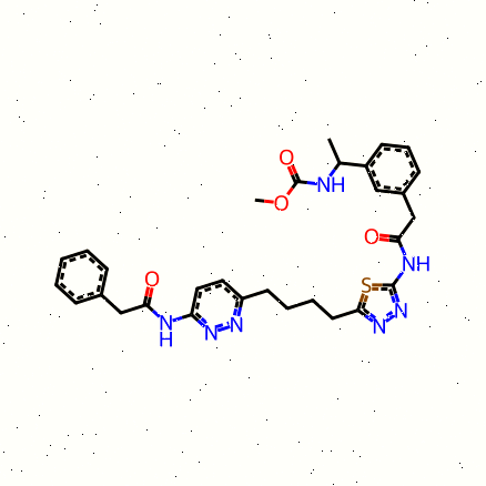 COC(=O)NC(C)c1cccc(CC(=O)Nc2nnc(CCCCc3ccc(NC(=O)Cc4ccccc4)nn3)s2)c1